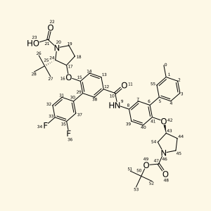 Cc1cccc(-c2cc(NC(=O)c3ccc(OC4CCN(C(=O)O)[C@H]4C(C)(C)C)c(-c4ccc(F)c(F)c4)c3)ccc2O[C@H]2CCN(C(=O)OC(C)(C)C)C2)c1